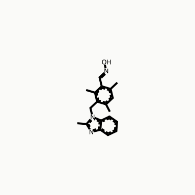 Cc1cc(C)c(Cn2c(C)nc3ccccc32)c(C)c1/C=N/O